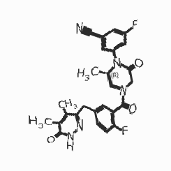 Cc1c(Cc2ccc(F)c(C(=O)N3CC(=O)N(c4cc(F)cc(C#N)c4)[C@H](C)C3)c2)n[nH]c(=O)c1C